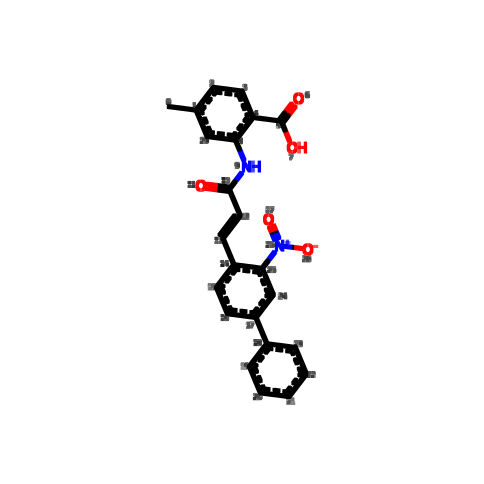 Cc1ccc(C(=O)O)c(NC(=O)C=Cc2ccc(-c3ccccc3)cc2[N+](=O)[O-])c1